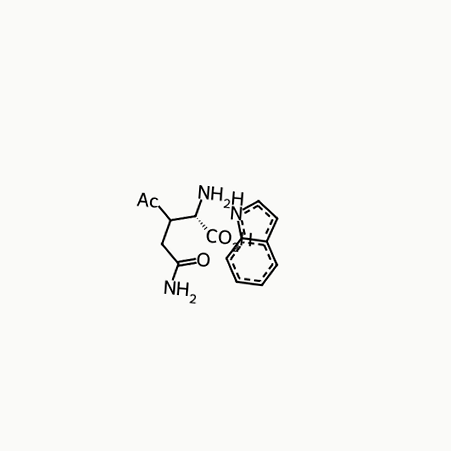 CC(=O)C(CC(N)=O)[C@H](N)C(=O)O.c1ccc2[nH]ccc2c1